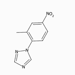 Cc1cc([N+](=O)[O-])ccc1-n1cncn1